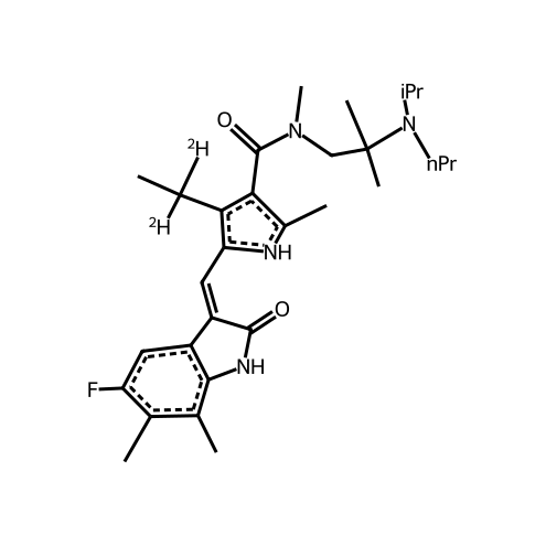 [2H]C([2H])(C)c1c(/C=C2\C(=O)Nc3c2cc(F)c(C)c3C)[nH]c(C)c1C(=O)N(C)CC(C)(C)N(CCC)C(C)C